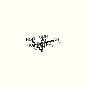 CC(C)C[C@H](NC(=O)[C@H](CCC(=O)O)NC(=O)[C@@H](N)CCCCN)C(=O)N[C@H](CCC(=O)O)C(=O)O